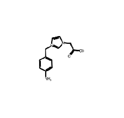 Nc1ccc(C[n+]2ccn(CC(=O)O)c2)cc1